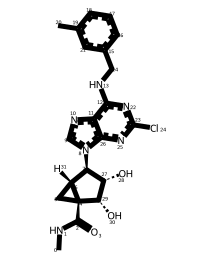 CNC(=O)[C@@]12C[C@@H]1[C@@H](n1cnc3c(NCc4cccc(C)c4)nc(Cl)nc31)[C@H](O)[C@@H]2O